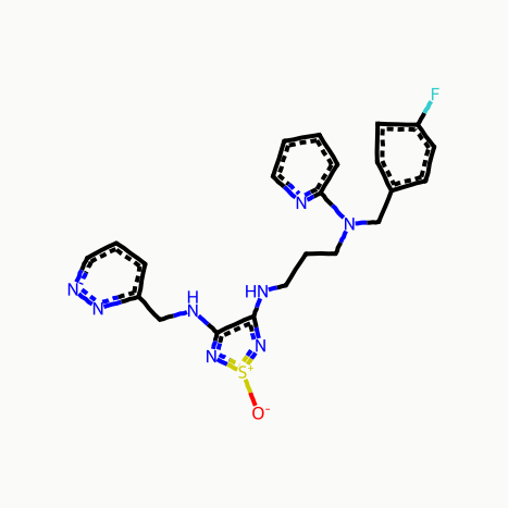 [O-][s+]1nc(NCCCN(Cc2ccc(F)cc2)c2ccccn2)c(NCc2cccnn2)n1